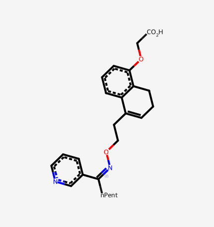 CCCCC/C(=N/OCCC1=CCCc2c(OCC(=O)O)cccc21)c1cccnc1